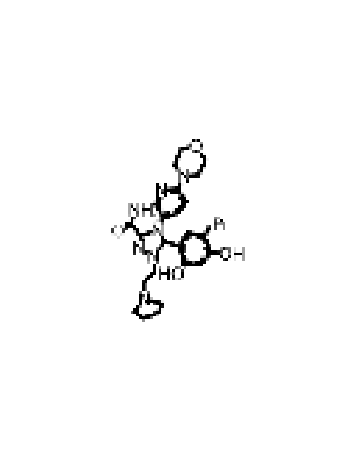 CC(C)c1cc(C2N(CCN3CCCC3)N=C(C(N)=O)N2c2ccc(N3CCOCC3)nc2)c(O)cc1O